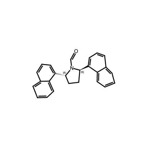 O=CN1[C@@H](c2cccc3ccccc23)CC[C@@H]1c1cccc2ccccc12